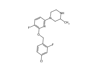 CC1CN(c2ccc(F)c(OCc3ccc(Cl)cc3F)n2)CCN1